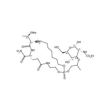 CCCCCCCCCCCCCCCCOP(=O)(OCCNC(=O)CC[C@@H](NC(=O)[C@@H](N)[C@@H](C)OC)C(N)=O)OCC(C)O[C@H]1[C@H](O)[C@@H](CO)O[C@H](O)[C@@H]1NC(=O)OCC